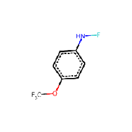 FNc1ccc(OC(F)(F)F)cc1